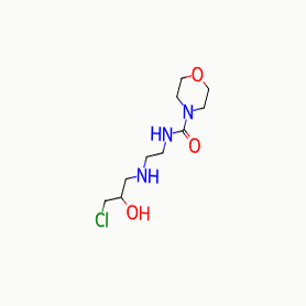 O=C(NCCNCC(O)CCl)N1CCOCC1